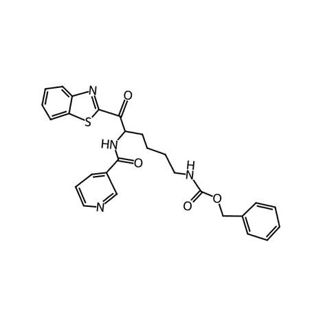 O=C(NCCCCC(NC(=O)c1cccnc1)C(=O)c1nc2ccccc2s1)OCc1ccccc1